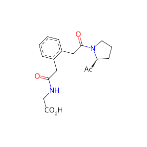 CC(=O)[C@@H]1CCCN1C(=O)Cc1ccccc1CC(=O)NCC(=O)O